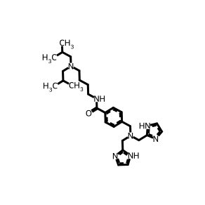 CC(C)CN(CCCCNC(=O)c1ccc(CN(Cc2ncc[nH]2)Cc2ncc[nH]2)cc1)CC(C)C